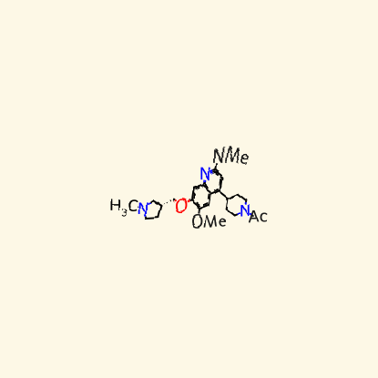 CNc1cc(C2CCN(C(C)=O)CC2)c2cc(OC)c(OC[C@@H]3CCN(C)C3)cc2n1